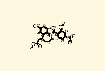 COC(=O)CC1CCCN(C(=O)c2ccc([N+](=O)[O-])cc2OC)c2ccc(Cl)cc21